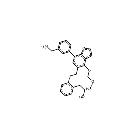 COCOc1c(COc2ccccc2CCO)cc(-c2cccc(CN)c2)c2occc12